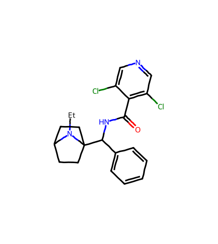 CCN1C2CCC1(C(NC(=O)c1c(Cl)cncc1Cl)c1ccccc1)CC2